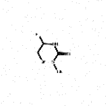 CCC(CBr)NC(=O)OC(C)(C)C